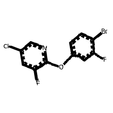 Fc1cc(Oc2ncc(Cl)cc2F)ccc1Br